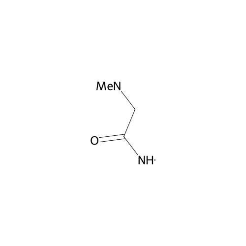 CNCC([NH])=O